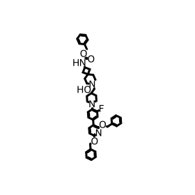 O=C(NC1CC2(CCN(CC3(O)CCN(c4ccc(-c5ccc(OCc6ccccc6)nc5OCc5ccccc5)cc4F)CC3)CC2)C1)OCc1ccccc1